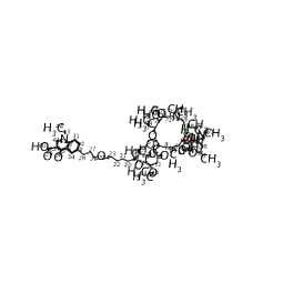 CC[C@H]1OC(=O)[C@H](C)[C@@H](O[C@H]2C[C@@](C)(OC)[C@@H](OC(=O)CCCCCOCCCc3ccc4c(c3)c(=O)c(C(=O)O)cn4CC)[C@H](C)O2)[C@H](C)[C@@H](O[C@@H]2O[C@H](C)C[C@H](N(C)C)[C@H]2O)[C@](C)(O)C[C@@H](C)CN(C)[C@H](C)[C@@H](OC)[C@]1(C)O